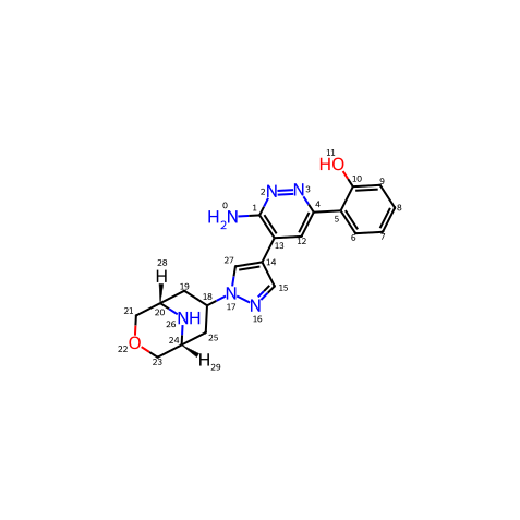 Nc1nnc(-c2ccccc2O)cc1-c1cnn(C2C[C@H]3COC[C@@H](C2)N3)c1